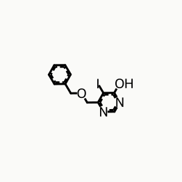 Oc1ncnc(COCc2ccccc2)c1I